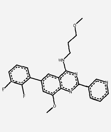 COCCCNc1nc(-c2cccnc2)nc2c(OC)cc(-c3cccc(F)c3F)cc12